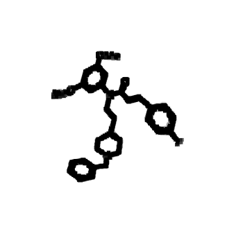 COc1cc(OC)cc(N(CCC2CCN(Cc3ccccc3)CC2)C(=O)/C=C/c2ccc(F)cc2)c1